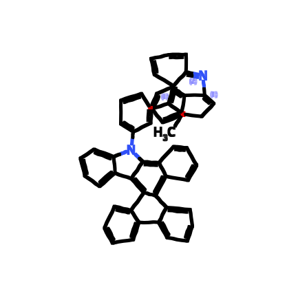 CC1C/C=C(c2ccccc2)/N=c2/cccc/c2=C/1c1cccc(-n2c3ccccc3c3c4c5ccccc5c5ccccc5c4c4ccccc4c32)c1